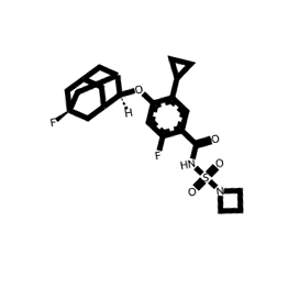 O=C(NS(=O)(=O)N1CCC1)c1cc(C2CC2)c(O[C@H]2C3CC4CC2C[C@@](F)(C4)C3)cc1F